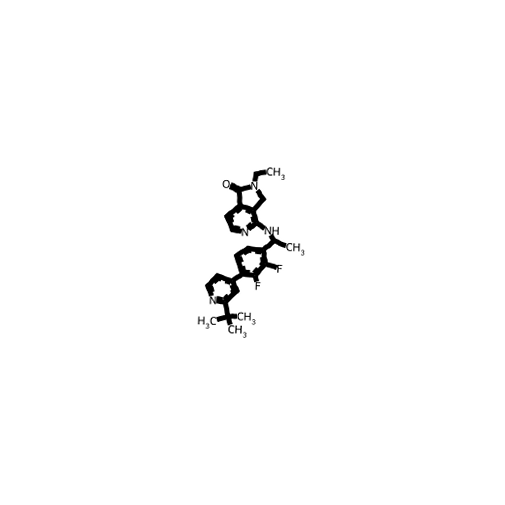 CCN1Cc2c(ccnc2NC(C)c2ccc(-c3ccnc(C(C)(C)C)c3)c(F)c2F)C1=O